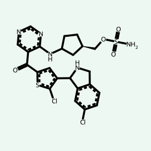 NS(=O)(=O)OC[C@@H]1CCC(Nc2ncncc2C(=O)c2cc(C3NCc4ccc(Cl)cc43)c(Cl)s2)C1